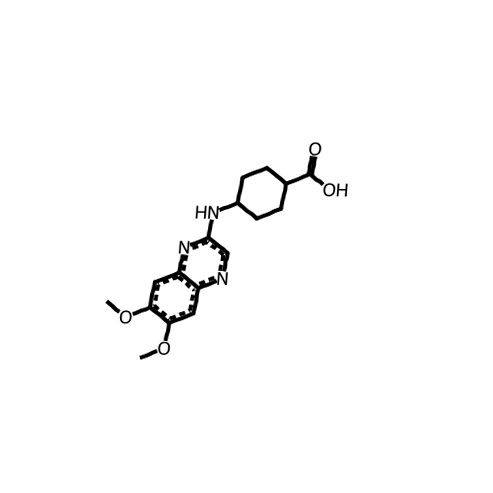 COc1cc2ncc(NC3CCC(C(=O)O)CC3)nc2cc1OC